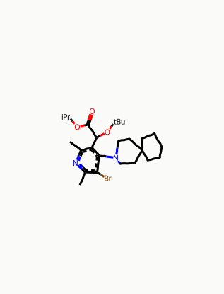 Cc1nc(C)c(C(OC(C)(C)C)C(=O)OC(C)C)c(N2CCC3(CCCCC3)CC2)c1Br